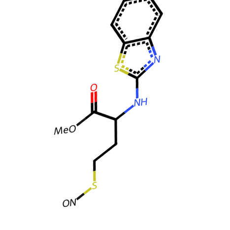 COC(=O)C(CCSN=O)Nc1nc2ccccc2s1